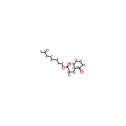 CC(C)CCCCCCOC(=O)C(C)CC1CCCCC1=O